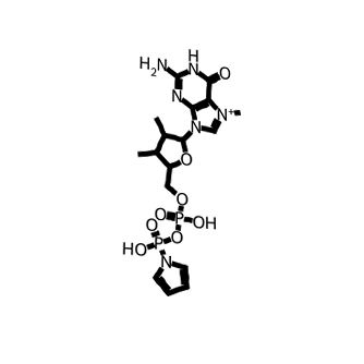 CC1C(COP(=O)(O)OP(=O)(O)n2cccc2)OC(n2c[n+](C)c3c(=O)[nH]c(N)nc32)C1C